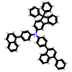 c1ccc(-c2ccc(-c3ccc(N(c4ccc(-c5cccc6ccccc56)cc4)c4ccc5c(c4)-c4ccccc4C5(c4ccccc4)c4ccccc4)cc3)c3ccccc23)cc1